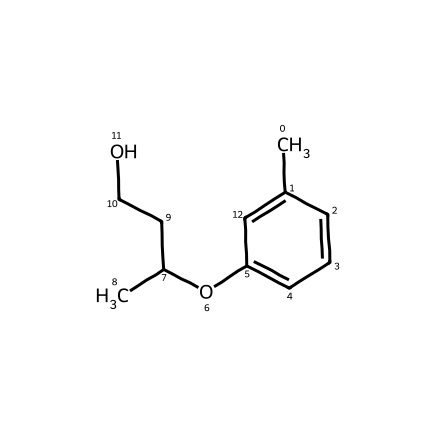 Cc1cccc(OC(C)CCO)c1